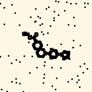 CC(C)(C)OC(=O)N1CCC2(CCCN(c3ncc(-n4cnnn4)cn3)C2)CC1